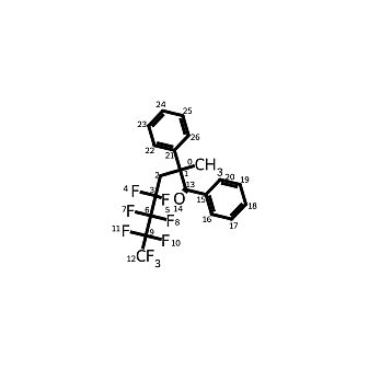 CC(CC(F)(F)C(F)(F)C(F)(F)C(F)(F)F)(C(=O)c1ccccc1)c1ccccc1